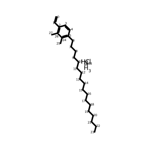 C=Cc1ccc(CCCCCCCCCCCCCCCCCC)c(C)c1C.Cl.N